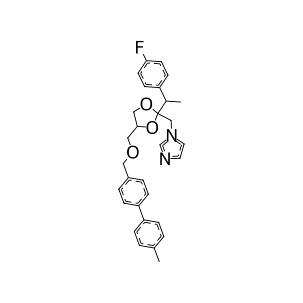 Cc1ccc(-c2ccc(COCC3COC(Cn4ccnc4)(C(C)c4ccc(F)cc4)O3)cc2)cc1